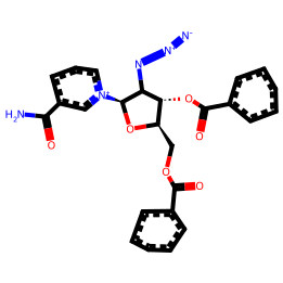 [N-]=[N+]=NC1[C@H]([n+]2cccc(C(N)=O)c2)O[C@H](COC(=O)c2ccccc2)[C@H]1OC(=O)c1ccccc1